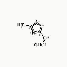 Nc1nc(O[C]=O)cs1